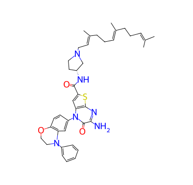 CC(C)=CCC/C(C)=C/CC/C(C)=C/CN1CC[C@@H](NC(=O)c2cc3c(nc(N)c(=O)n3-c3ccc4c(c3)N(c3ccccc3)CCO4)s2)C1